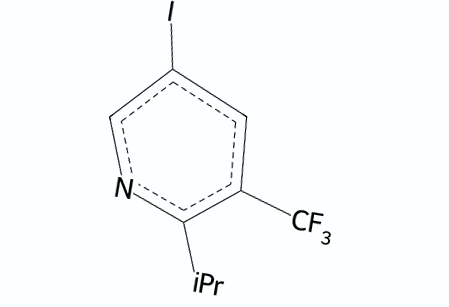 CC(C)c1ncc(I)cc1C(F)(F)F